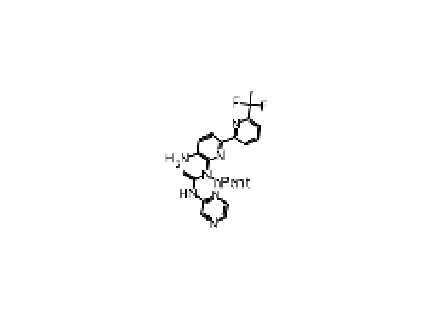 C=C(Nc1cnccn1)N(CCCCC)c1nc(-c2cccc(C(C)(F)F)n2)ccc1N